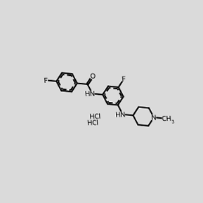 CN1CCC(Nc2cc(F)cc(NC(=O)c3ccc(F)cc3)c2)CC1.Cl.Cl